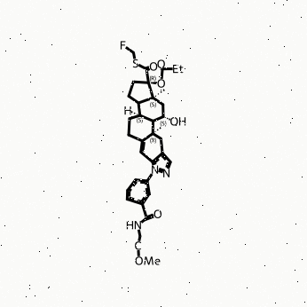 CCC(=O)O[C@]1(C(=O)SCF)CCC2[C@@H]3CCC4=Cc5c(cnn5-c5cccc(C(=O)NCCOC)c5)C[C@]4(C)C3[C@@H](O)C[C@@]21C